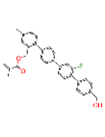 C=C(C)C(=O)OCc1cc(C)ccc1-c1ccc(-c2ccc(-c3ccc(CO)cc3)c(F)c2)cc1